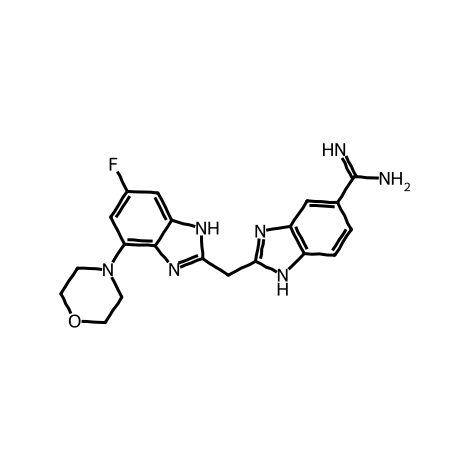 N=C(N)c1ccc2[nH]c(Cc3nc4c(N5CCOCC5)cc(F)cc4[nH]3)nc2c1